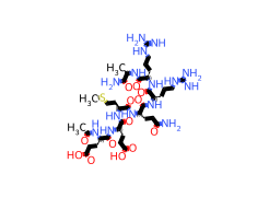 CSCC[C@H](NC(=O)[C@H](CCC(=O)O)NC(=O)[C@H](CCC(=O)O)NC(C)=O)C(=O)N[C@@H](CCC(N)=O)C(=O)N[C@@H](CCCNC(=N)N)C(=O)N[C@@H](CCCNC(=N)N)C(=O)N[C@@H](C)C(N)=O